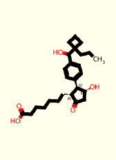 CCCC1(C(O)c2ccc([C@H]3[C@H](O)CC(=O)[C@@H]3CCCCCCC(=O)O)cc2)CCC1